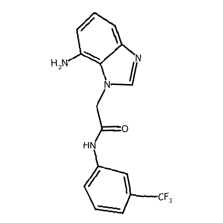 Nc1cccc2ncn(CC(=O)Nc3cccc(C(F)(F)F)c3)c12